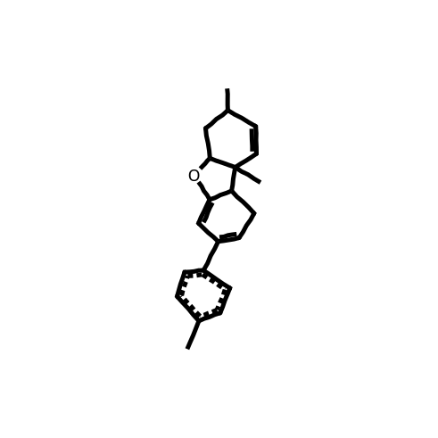 Cc1ccc(C2=CCC3C(=C2)OC2CC(C)C=CC23C)cc1